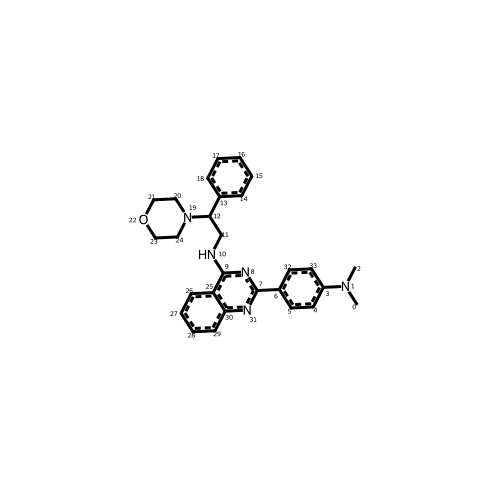 CN(C)c1ccc(-c2nc(NCC(c3ccccc3)N3CCOCC3)c3ccccc3n2)cc1